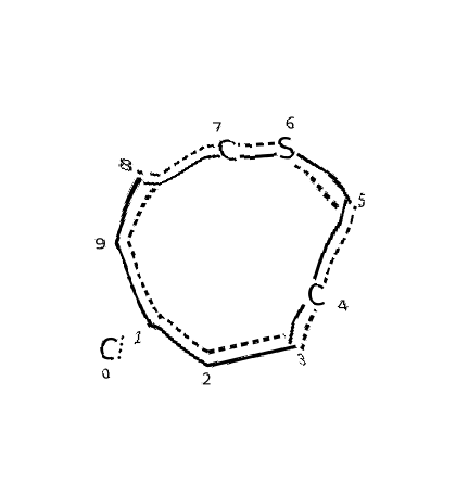 [C].c1ccccsccc1